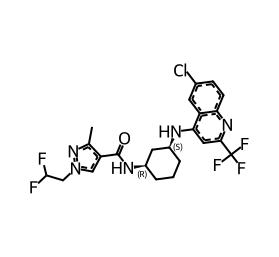 Cc1nn(CC(F)F)cc1C(=O)N[C@@H]1CCC[C@H](Nc2cc(C(F)(F)F)nc3ccc(Cl)cc23)C1